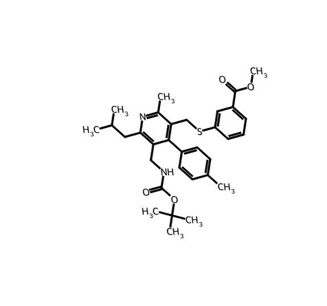 COC(=O)c1cccc(SCc2c(C)nc(CC(C)C)c(CNC(=O)OC(C)(C)C)c2-c2ccc(C)cc2)c1